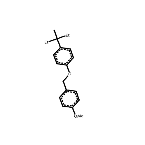 CCC(C)(CC)c1ccc(OCc2ccc(OC)cc2)cc1